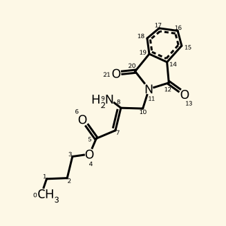 CCCCOC(=O)C=C(N)CN1C(=O)c2ccccc2C1=O